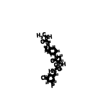 CNC(=O)Cn1ccc2cc(N3CC[C@](O)(OC(=O)NCc4cc(F)cc(Cl)c4)C3=O)ccc21